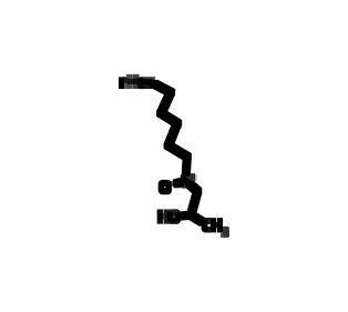 CCCCCCCCCCC[S+]([O-])CC(C)O